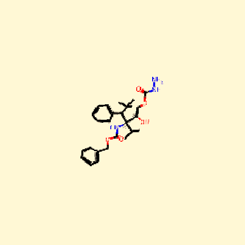 CC(C)[C@](NC(=O)OCc1ccccc1)(C(c1ccccc1)C(C)(C)C)[C@H](O)COC(=O)NN